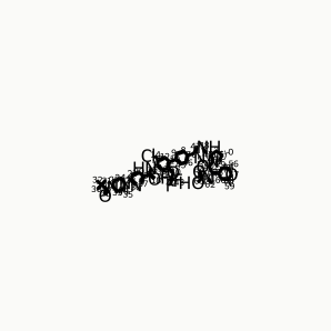 C[C@H]1C[C@@H](c2nc(-c3ccc(-c4cc(Cl)c(NC(=O)c5ccc(N6CCN(C(=O)C(C)(C)C)C[C@H]6C)nc5)cc4OC(F)(F)F)cc3)c[nH]2)N(C(=O)[C@H](C2C[C@H](C)O[C@@H](C)C2)N(C)C(=O)O)C1